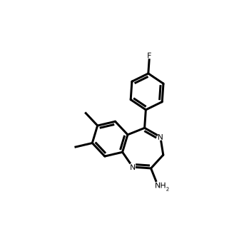 Cc1cc2c(cc1C)C(c1ccc(F)cc1)=NCC(N)=N2